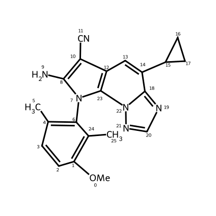 COc1ccc(C)c(-n2c(N)c(C#N)c3cc(C4CC4)c4ncnn4c32)c1C